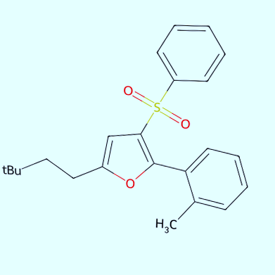 Cc1ccccc1-c1oc(CCC(C)(C)C)cc1S(=O)(=O)c1ccccc1